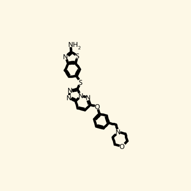 Nc1nc2ccc(Sc3nnc4ccc(Oc5cccc(CN6CCOCC6)c5)nn34)cc2s1